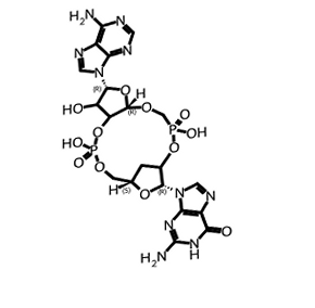 Nc1nc2c(ncn2[C@@H]2O[C@@H]3COP(=O)(O)OC4C(O)[C@H](n5cnc6c(N)ncnc65)O[C@@H]4OCP(=O)(O)OC2C3)c(=O)[nH]1